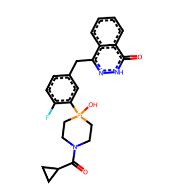 O=C(C1CC1)N1CC[P](O)(c2cc(Cc3n[nH]c(=O)c4ccccc34)ccc2F)CC1